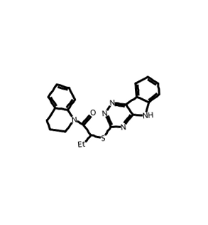 CCC(Sc1nnc2c(n1)[nH]c1ccccc12)C(=O)N1CCCc2ccccc21